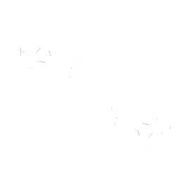 CC(C)(C)c1cc(CCC(=O)OCCCCCCOC(=O)CCc2cc(C(C)(C)C)c(C=O)c(C(C)(C)C)c2)cc(C(C)(C)C)c1O